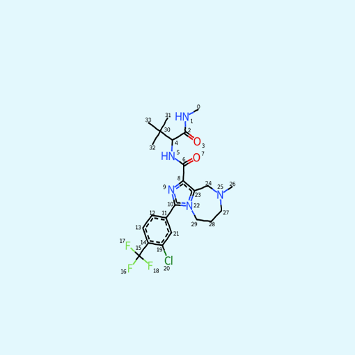 CNC(=O)C(NC(=O)c1nc(-c2ccc(C(F)(F)F)c(Cl)c2)n2c1CN(C)CCC2)C(C)(C)C